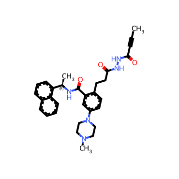 CC#CC(=O)NNC(=O)CCc1ccc(N2CCN(C)CC2)cc1C(=O)N[C@H](C)c1cccc2ccccc12